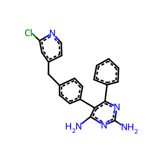 Nc1nc(N)c(-c2ccc(Cc3ccnc(Cl)c3)cc2)c(-c2ccccc2)n1